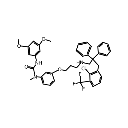 COc1cc(NC(=O)N(C)c2cccc(OCCCNCC(Cc3cccc(C(F)(F)F)c3Cl)(c3ccccc3)c3ccccc3)c2)cc(OC)c1